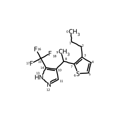 CCCc1ccsc1C(C)c1cn[nH]c1C(F)(F)F